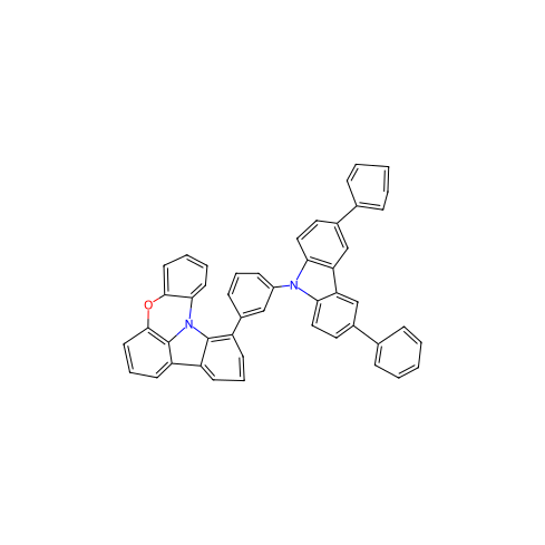 c1ccc(-c2ccc3c(c2)c2cc(-c4ccccc4)ccc2n3-c2cccc(-c3cccc4c5cccc6c5n(c34)-c3ccccc3O6)c2)cc1